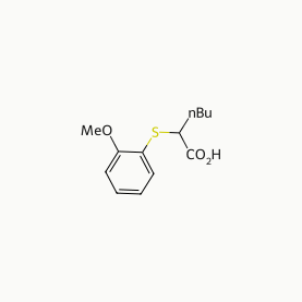 CCCCC(Sc1ccccc1OC)C(=O)O